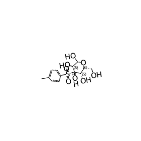 Cc1ccc(S(=O)(=O)[C@]2(O)[C@@H](O)C(O)O[C@H](CO)[C@@H]2O)cc1